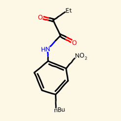 CCCCc1ccc(NC(=O)C(=O)CC)c([N+](=O)[O-])c1